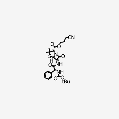 CC(C)(C)OC(=O)N[C@@H](C(=O)N[C@@H]1C(=O)N2[C@@H]1SC(C)(C)[C@@H]2C(=O)OCCCC#N)c1ccccc1